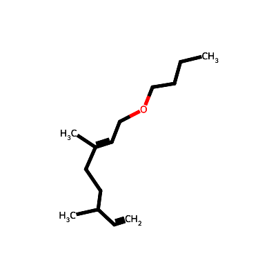 C=CC(C)CCC(C)=CCOCCCC